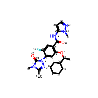 CCc1nn(-c2cc(OC(C)C3CCCCC3)c(C(=O)Nc3ccnn3C)cc2F)c(=O)n1C